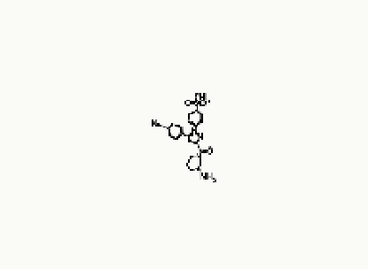 CS(=O)(=O)c1ccc(-n2nc(C(=O)N3CCC[C@@H](N)C3)cc2-c2ccc(C#N)cc2)cc1